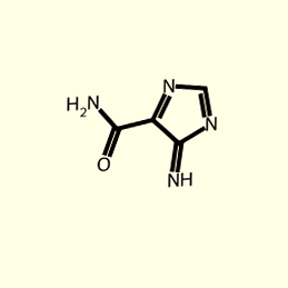 N=C1N=CN=C1C(N)=O